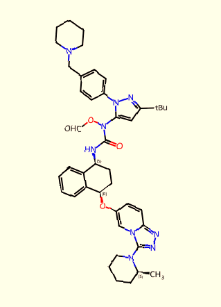 C[C@H]1CCCCN1c1nnc2ccc(O[C@@H]3CC[C@H](NC(=O)N(OC=O)c4cc(C(C)(C)C)nn4-c4ccc(CN5CCCCC5)cc4)c4ccccc43)cn12